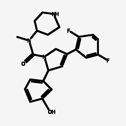 CN(C(=O)N1CC(c2cc(F)ccc2F)=CC1c1cccc(O)c1)C1CCNCC1